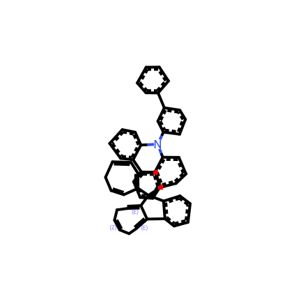 C1=CC2=C(C=CC1)C1(C3=C/C/C=C\C/C=C\3c3ccccc31)c1cccc(N(c3cccc(-c4ccccc4)c3)c3ccccc3-c3ccccc3)c12